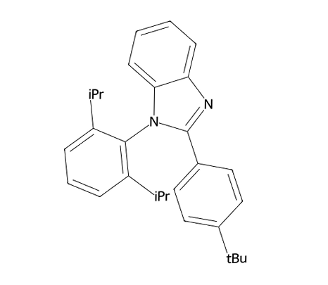 CC(C)c1cccc(C(C)C)c1-n1c(-c2ccc(C(C)(C)C)cc2)nc2ccccc21